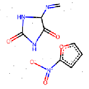 C=NC1NC(=O)NC1=O.O=[N+]([O-])c1ccco1